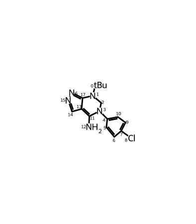 CC(C)(C)N1CN(c2ccc(Cl)cc2)C(N)=C2C=NN=C21